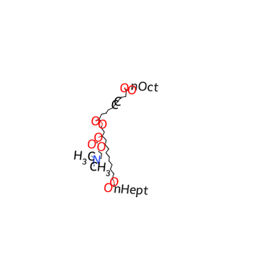 CCCCCCCCOC(=O)CCCCCCCCC(=O)OCCC(CCCCCCCCCCOC(=O)CCCCCCC)OC(=O)OCCCN(C)C